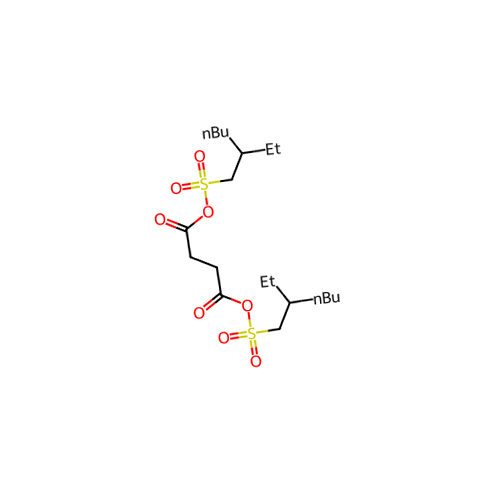 CCCCC(CC)CS(=O)(=O)OC(=O)CCC(=O)OS(=O)(=O)CC(CC)CCCC